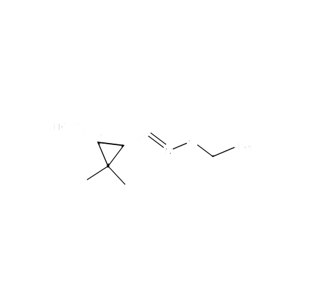 CCCC(C)CON=C[C@H]1[C@@H](C(=O)O)C1(C)C